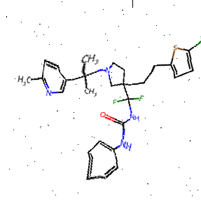 Cc1ccc(C(C)(C)N2CCC(CCc3ccc(F)s3)(C(F)(F)NC(=O)Nc3ccccc3)C2)cn1